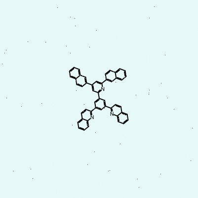 c1ccc2cc(-c3cc(-c4cc(-c5ccc6ccccc6n5)cc(-c5ccc6ccccc6n5)c4)nc(-c4ccc5ccccc5c4)c3)ccc2c1